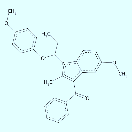 CCC(Oc1ccc(OC)cc1)n1c(C)c(C(=O)c2ccccc2)c2cc(OC)ccc21